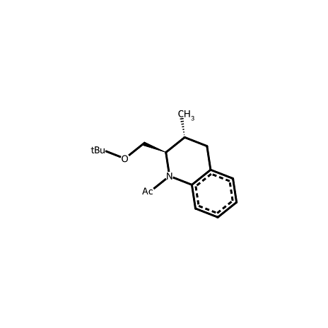 CC(=O)N1c2ccccc2C[C@@H](C)[C@@H]1COC(C)(C)C